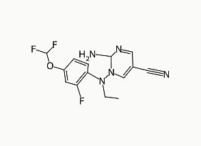 CCN(c1ccc(OC(F)F)cc1F)N1C=C(C#N)C=NC1N